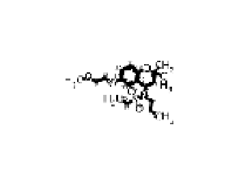 CCCN(C1CC(C)(C)Oc2ccc(OCCOC)cc21)S(=O)(=O)CC